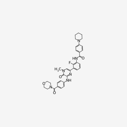 Cn1cc(-c2cccc(NC(=O)c3ccc(N4CCCCC4)cc3)c2F)nc(Nc2ccc(C(=O)N3CCOCC3)cc2)c1=O